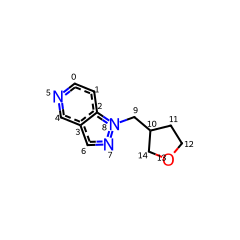 c1cc2c(cn1)cnn2CC1CCOC1